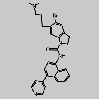 CN(C)CCCc1cc2c(cc1Br)CCN2C(=O)Nc1ccc(-c2ccncc2)c2ccccc12